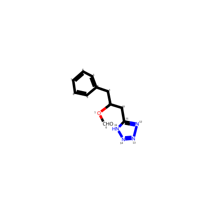 O=COC(Cc1ccccc1)Cc1nnn[nH]1